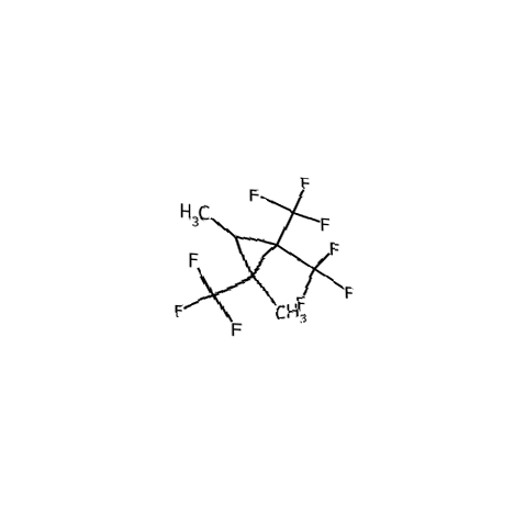 CC1C(C)(C(F)(F)F)C1(C(F)(F)F)C(F)(F)F